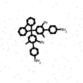 Cc1cc(C2(c3cc(C)c(-c4ccc(N)cc4)c(C(C)C)c3)c3ccccc3-c3ccccc32)cc(C(C)C)c1-c1ccc(N)cc1